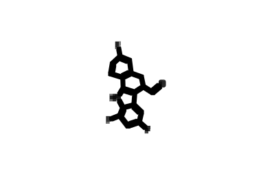 O=CC1Cc2cc(F)ccc2-c2[nH]c3c(F)cc(F)cc3c21